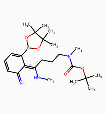 CN/C(CCCN(C)C(=O)OC(C)(C)C)=C1\C(=N)C=CC=C1B1OC(C)(C)C(C)(C)O1